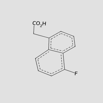 O=C(O)Cc1cccc2c(F)cccc12